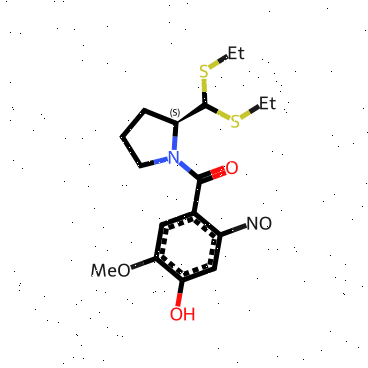 CCSC(SCC)[C@@H]1CCCN1C(=O)c1cc(OC)c(O)cc1N=O